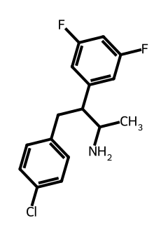 CC(N)C(Cc1ccc(Cl)cc1)c1cc(F)cc(F)c1